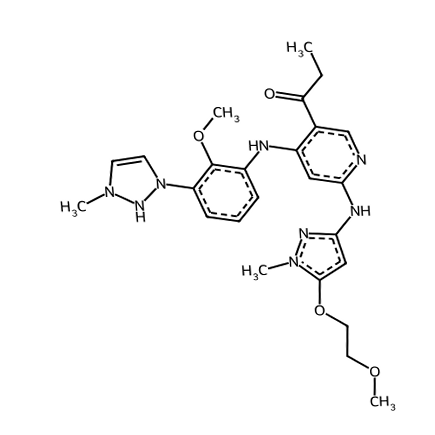 CCC(=O)c1cnc(Nc2cc(OCCOC)n(C)n2)cc1Nc1cccc(N2C=CN(C)N2)c1OC